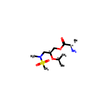 CC[C@H](C)[C@H](N)C(=O)OC[C@H](CN(C)S(C)(=O)=O)O[C@@H](C)C(C)(C)C